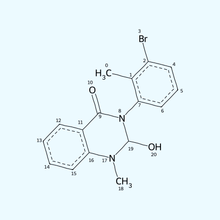 Cc1c(Br)cccc1N1C(=O)c2ccccc2N(C)C1O